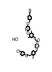 Cc1cc(/C=C/C(=O)N2CCN(Cc3ccc(CCOc4ccc(Cl)cc4)c(F)c3)CC2)cc(C)c1Oc1ccc(OCc2ccc(C#N)cc2)cn1.Cl